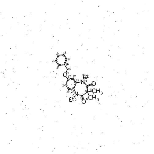 CCN1C(=O)C(C)(C)C(=O)N(CC)c2cc(OCc3ccccc3)ccc21